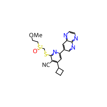 COCC[S+]([O-])CSc1nc(-c2cnc3nccnc3c2)cc(C2CCC2)c1C#N